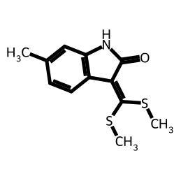 CSC(SC)=C1C(=O)Nc2cc(C)ccc21